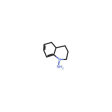 NN1CCCC2CC=CC=C21